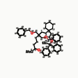 COC(=O)CCCC(CCC1(CCO[Si](c2ccccc2)(c2ccccc2)C(C)(C)C)CCCCC1)(COCc1ccccc1)COCc1ccccc1